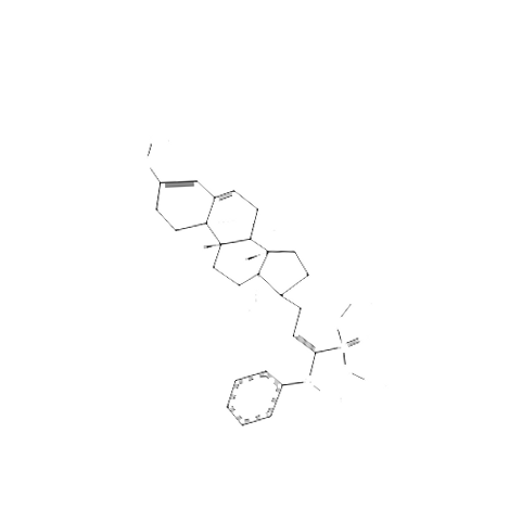 COC1=CC2=CC[C@@H]3[C@H](CC[C@@]4(C)[C@H]3CC[C@@]4(O)C/C=C(/N(C)c3ccccc3)P(=O)(OC)OC)[C@@]2(C)CC1